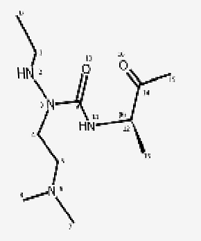 CCNN(CCN(C)C)C(=O)N[C@H](C)C(C)=O